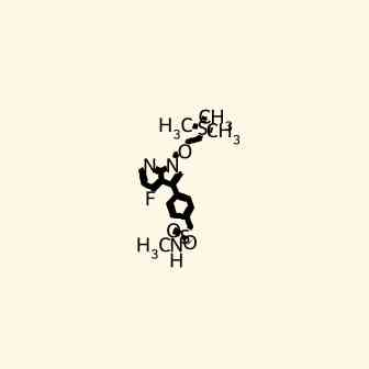 CNS(=O)(=O)Cc1ccc(-c2cn(COCC[Si](C)(C)C)c3nccc(F)c23)cc1